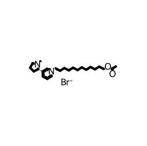 CC(=O)OCCCCCCCCCCCC[n+]1cccc([C@@H]2CCCN2C)c1.[Br-]